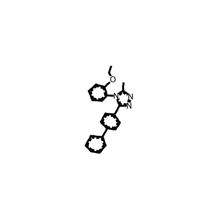 CCOc1ccccc1-n1c(C)nnc1-c1ccc(-c2ccccc2)cc1